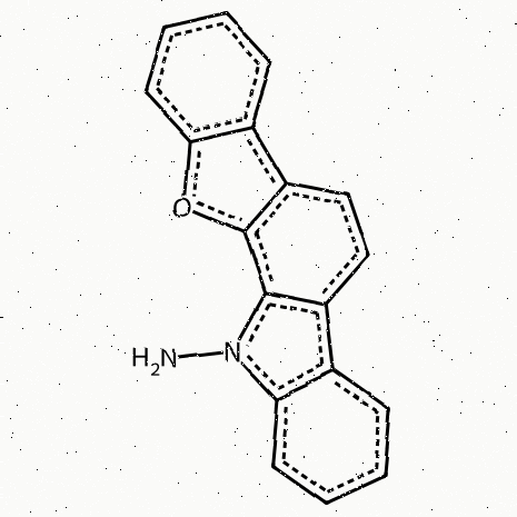 Nn1c2ccccc2c2ccc3c4ccccc4oc3c21